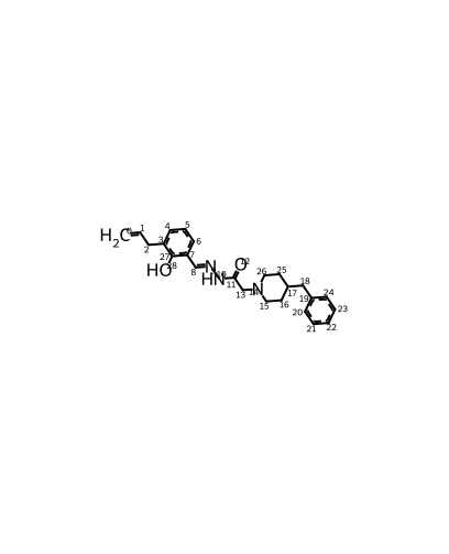 C=CCc1cccc(/C=N/NC(=O)CN2CCC(Cc3ccccc3)CC2)c1O